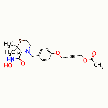 CC(=O)OCC#CCOc1ccc(CN2CCSC(C)(C)[C@@H]2C(=O)NO)cc1